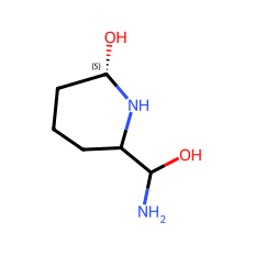 NC(O)C1CCC[C@H](O)N1